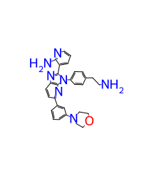 NCCc1ccc(-n2c(-c3cccnc3N)nc3ccc(-c4cccc(N5CCOCC5)c4)nc32)cc1